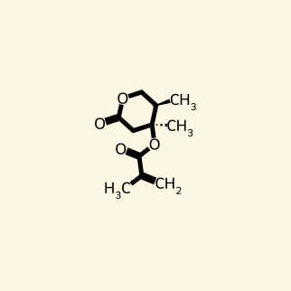 C=C(C)C(=O)O[C@@]1(C)CC(=O)OC[C@H]1C